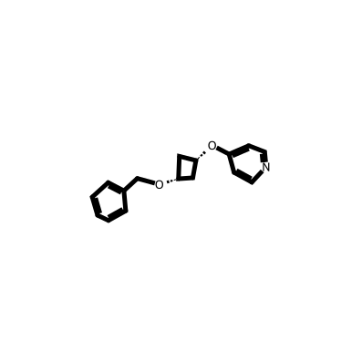 c1ccc(CO[C@H]2C[C@@H](Oc3ccncc3)C2)cc1